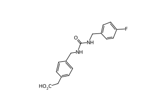 O=C(O)Cc1ccc(CNC(=O)NCc2ccc(F)cc2)cc1